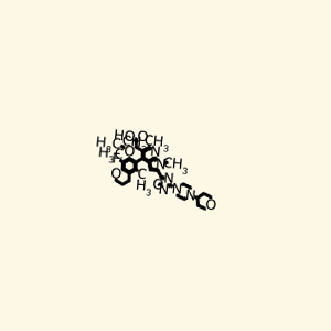 Cc1nc2c(cc(-c3nc(N4CCN(C5CCOCC5)CC4)no3)n2C)c(-c2cc(F)c3c(c2C)CCCO3)c1[C@H](OC(C)(C)C)C(=O)O